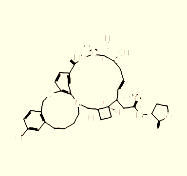 CO[C@@]1(CC(=O)N[C@H]2CCOC2=O)/C=C/C[C@H](C)[C@@H](C)S(=O)(=O)NC(=O)c2ccc3c(c2)N(CCCCc2cc(Cl)ccc2CO3)C[C@@H]2CC[C@H]21